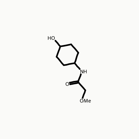 COCC(=O)NC1CCC(O)CC1